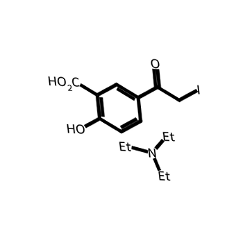 CCN(CC)CC.O=C(CI)c1ccc(O)c(C(=O)O)c1